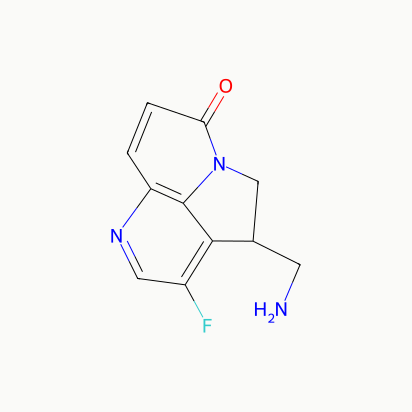 NCC1Cn2c(=O)ccc3ncc(F)c1c32